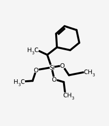 CCO[Si](OCC)(OCC)C(C)C1C=CCCC1